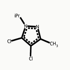 Cc1nn(C(C)C)c(Cl)c1Cl